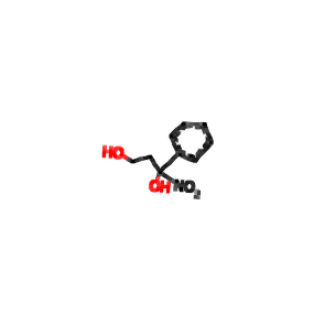 O=[N+]([O-])C(O)(CCO)c1ccccc1